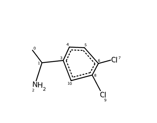 CC(N)c1ccc(Cl)c(Cl)c1